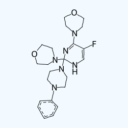 FC1=CNC(N2CCOCC2)(N2CCN(c3ccccc3)CC2)N=C1N1CCOCC1